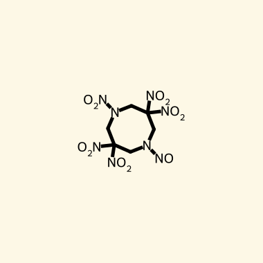 O=NN1CC([N+](=O)[O-])([N+](=O)[O-])CN([N+](=O)[O-])CC([N+](=O)[O-])([N+](=O)[O-])C1